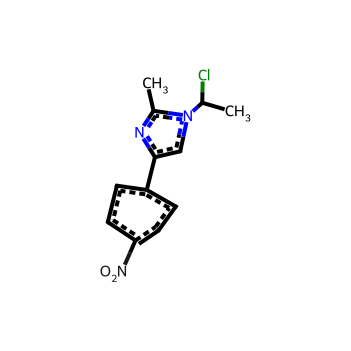 Cc1nc(-c2ccc([N+](=O)[O-])cc2)cn1C(C)Cl